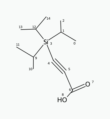 CC(C)[Si](C#CC(=O)O)(C(C)C)C(C)C